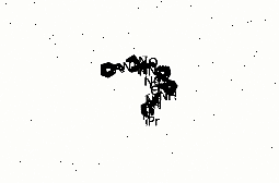 CC(C)N1CCc2c(nc(C(=O)Nc3cccc(-c4cccc(NC(=O)c5nc6c(n5C)CCN(CCC5CCCCC5)C6)c4C#N)c3Cl)n2C)C1